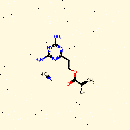 C#N.C=C(C)C(=O)OCCc1nc(N)nc(N)n1